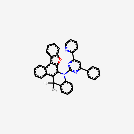 CC1(C)c2ccccc2N(c2nc(-c3ccccc3)cc(-c3ccccn3)n2)c2c1c1ccccc1c1c2oc2ccccc21